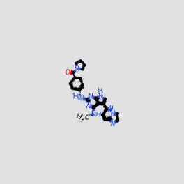 CNc1nc(N[C@H]2CC[C@H](C(=O)N3CCCC3)CC2)nc2[nH]cc(-c3ccc4nccn4n3)c12